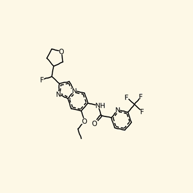 CCOc1cc2nc(C(F)C3CCOC3)cn2cc1NC(=O)c1cccc(C(F)(F)F)n1